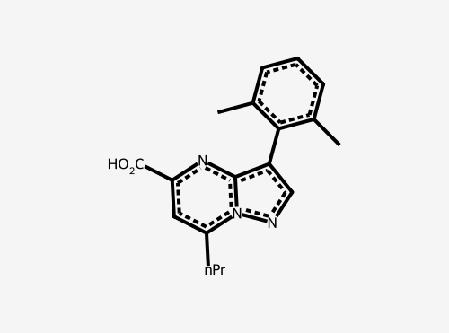 CCCc1cc(C(=O)O)nc2c(-c3c(C)cccc3C)cnn12